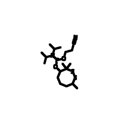 CC1CCCC(OP(OCCC#N)N(C(C)C)C(C)C)C(C)(C)SS1